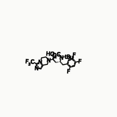 CC(C)(C)N(C(=O)O)[C@@H](CC(=O)N1CCn2c(cnc2C(F)(F)F)C1)Cc1cc(F)c(F)cc1F